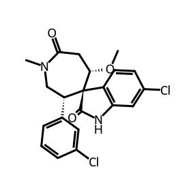 CO[C@H]1CC(=O)N(C)C[C@@H](c2cccc(Cl)c2)[C@]12C(=O)Nc1cc(Cl)ccc12